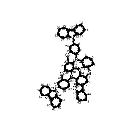 c1cc2c3c(c1)B1c4ccc(-n5c6ccccc6c6ccccc65)cc4Oc4cc5c6c(c41)N3c1c(cc3c(oc4ccccc43)c1B6c1ccc(-n3c4ccccc4c4ccccc43)cc1O5)S2